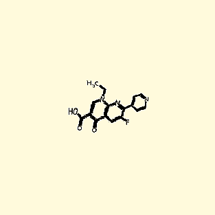 CCn1cc(C(=O)O)c(=O)c2cc(F)c(-c3ccncc3)nc21